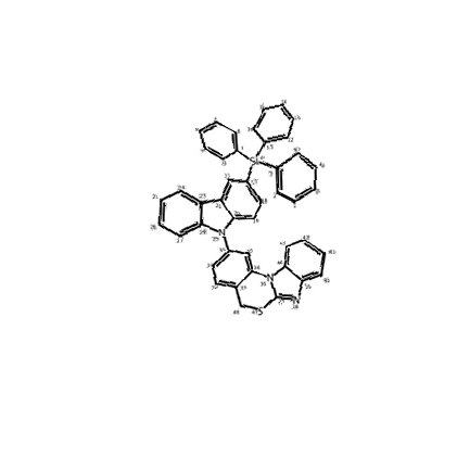 c1ccc([Si](c2ccccc2)(c2ccccc2)c2ccc3c(c2)c2ccccc2n3-c2ccc3c(c2)-n2c(nc4ccccc42)SC3)cc1